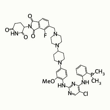 COc1cc(N2CCC(N3CCN(Cc4ccc5c(c4F)C(=O)N(C4CCC(=O)NC4=O)C5=O)CC3)CC2)ccc1Nc1ncc(Cl)c(Nc2ccccc2P(C)C)n1